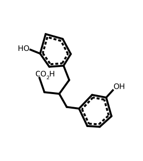 O=C(O)CC(Cc1cccc(O)c1)Cc1cccc(O)c1